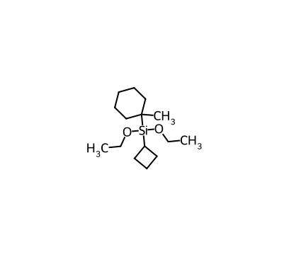 CCO[Si](OCC)(C1CCC1)C1(C)CCCCC1